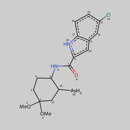 COC1(OC)CCC(NC(=O)c2cc3cc(Cl)ccc3[nH]2)C([AsH2])C1